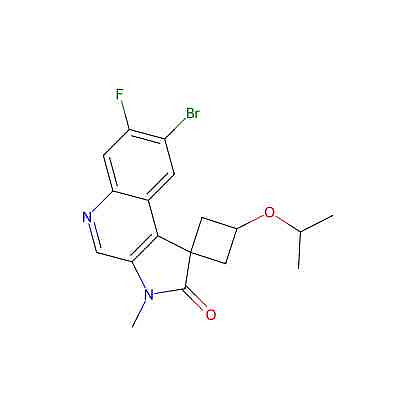 CC(C)OC1CC2(C1)C(=O)N(C)c1cnc3cc(F)c(Br)cc3c12